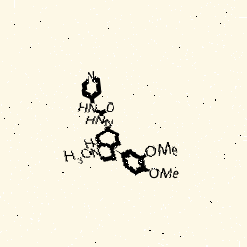 COc1ccc([C@@]23CC/C(=N/NC(=O)Nc4ccncc4)C[C@@H]2N(C)CC3)cc1OC